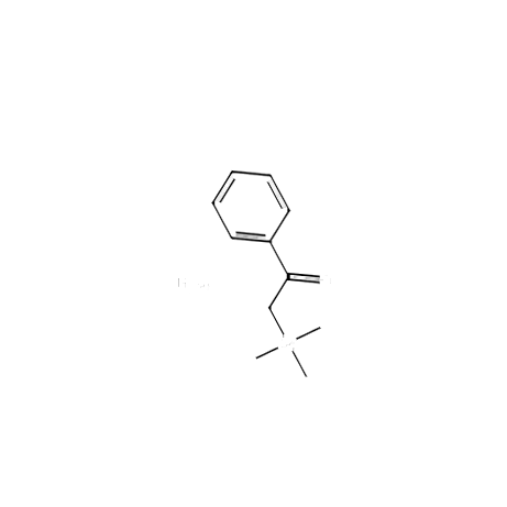 C[Se](C)(C)CC(=O)c1ccccc1.[SeH2]